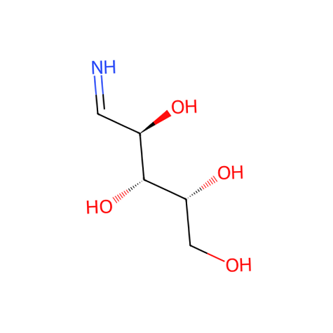 N=C[C@@H](O)[C@@H](O)[C@H](O)CO